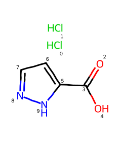 Cl.Cl.O=C(O)c1ccn[nH]1